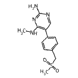 CNc1nc(N)ncc1-c1ccc(CS(C)(=O)=O)cc1